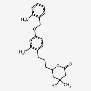 Cc1cc(OCc2ccccc2C)ccc1CCCC1CC(C)(O)CC(=O)O1